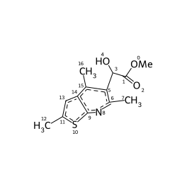 COC(=O)C(O)c1c(C)nc2sc(C)cc2c1C